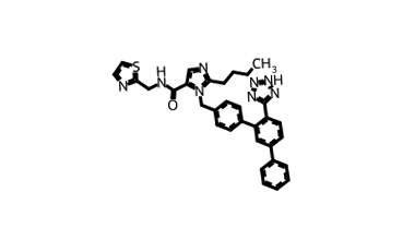 CCCCc1ncc(C(=O)NCc2nccs2)n1Cc1ccc(-c2cc(-c3ccccc3)ccc2-c2nn[nH]n2)cc1